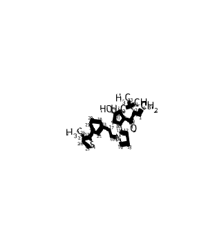 C=C[C@H](C(=O)C1C[C@H](O)C[C@H]1c1cccn1CCc1cccc(-c2sccc2C)c1)C(C)(C)C